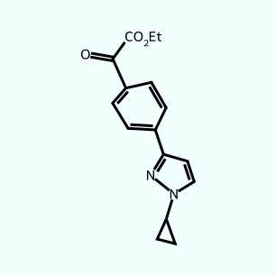 CCOC(=O)C(=O)c1ccc(-c2ccn(C3CC3)n2)cc1